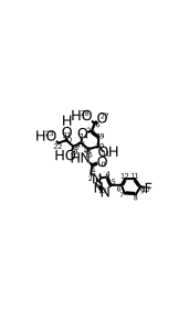 O=C(Cn1cc(-c2ccc(F)cc2)nn1)NC1C(C(O)C(O)CO)OC(C(=O)O)=C[C@H]1O